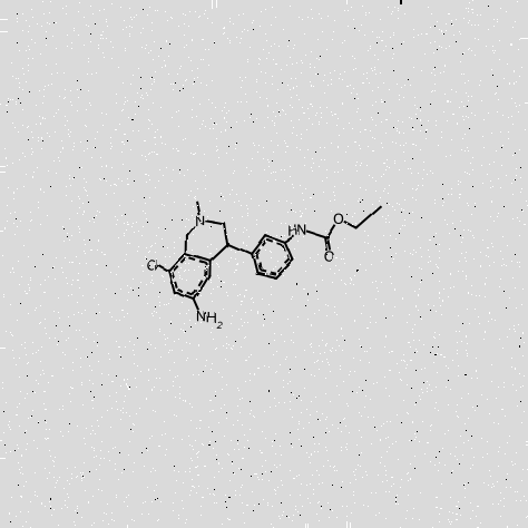 CCOC(=O)Nc1cccc(C2CN(C)Cc3c(Cl)cc(N)cc32)c1